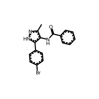 Cc1n[nH]c(-c2ccc(Br)cc2)c1NC(=O)c1ccccc1